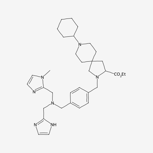 CCOC(=O)C1CC2(CCN(C3CCCCC3)CC2)CN1Cc1ccc(CN(Cc2ncc[nH]2)Cc2nccn2C)cc1